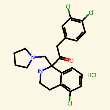 Cl.O=C(Cc1ccc(Cl)c(Cl)c1)C1(CN2CCCC2)NCCc2c(Cl)cccc21